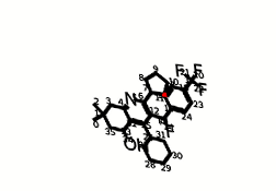 CC1(C)Cc2nc(C3CCCC3)c([C@@H](F)c3ccc(C(F)(F)F)cc3)c(C3CCCCC3)c2C(O)C1